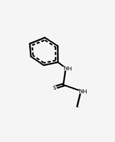 [CH2]NC(=S)Nc1ccccc1